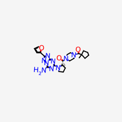 CC1(C(=O)N2CCN(C(=O)[C@@H]3CCCN3c3nc(N)n4nc(-c5ccco5)nc4n3)CC2)CCCC1